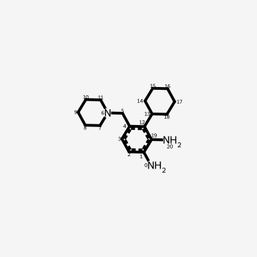 Nc1ccc(CN2CCCCC2)c(C2CCCCC2)c1N